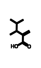 C=C(C(=O)O)C(C)C(C)C